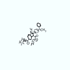 CNC(=O)c1ccc2[nH]c(N3CCN(C(C)c4ccccc4)CC3)c(C(=O)C(=O)O)c2c1